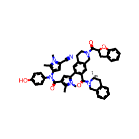 Cc1c(N(C(=O)c2cc(-c3cc4c(cc3C(=O)N3Cc5ccccc5C[C@H]3C)CN(C(=O)C3Cc5ccccc5O3)CC4)n(C)c2C)c2ccc(O)cc2)cc(C#N)n1C